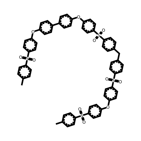 Cc1ccc(S(=O)(=O)c2ccc(Oc3ccc(-c4ccc(Oc5ccc(S(=O)(=O)c6ccc(Cc7ccc(S(=O)(=O)c8ccc(Oc9ccc(S(=O)(=O)c%10ccc(C)cc%10)cc9)cc8)cc7)cc6)cc5)cc4)cc3)cc2)cc1